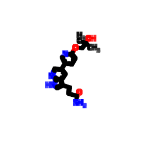 CC(C)(O)COc1ccc(-c2cnc3[nH]cc(C=CC(N)=O)c3c2)cn1